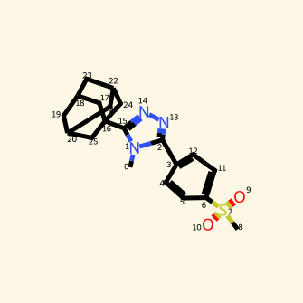 Cn1c(-c2ccc(S(C)(=O)=O)cc2)nnc1C12CC3CC(CC(C3)C1)C2